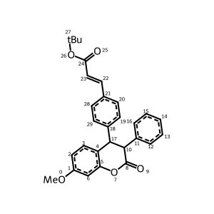 COc1ccc2c(c1)OC(=O)C(c1ccccc1)C2c1ccc(/C=C/C(=O)OC(C)(C)C)cc1